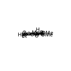 [CH2]CNC(=O)OCCOCCOCCOC(=O)NCCC[Si](OC)(OC)OC